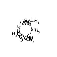 CNC1/C=C/C=C(\C)Cc2cc(OC)c(Cl)c(c2)N(C)C(=O)CC[C@@H]2CC[C@H]2[C@H](C)[C@@H]2C[C@@]1(C)NC(=O)O2